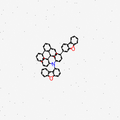 c1ccc(-c2cccc3cccc(-c4ccccc4N(c4ccc(-c5ccc6c(c5)oc5ccccc56)cc4)c4cccc5oc6ccccc6c45)c23)cc1